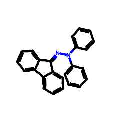 c1ccc(N(N=C2c3ccccc3-c3ccccc32)c2ccccc2)cc1